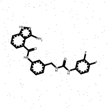 Nc1n[nH]c2cccc(C(=O)Nc3cccc(CNC(=O)Nc4ccc(F)c(F)c4)c3)c12